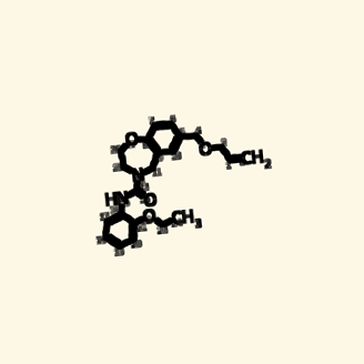 C=CCOCc1ccc2c(c1)CN(C(=O)Nc1ccccc1OCC)CCO2